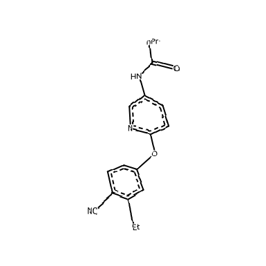 CC[CH]C(=O)Nc1ccc(Oc2ccc(C#N)c(CC)c2)nc1